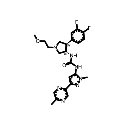 COCCN1C[C@@H](NC(=O)Nc2cc(-c3cnc(C)cn3)nn2C)[C@H](c2ccc(F)c(F)c2)C1